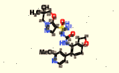 COc1cc(-c2ccc3c(c2NC(=O)N=S(N)(=O)c2cnn4c2OCC(C)(C)C4)CCO3)ccn1